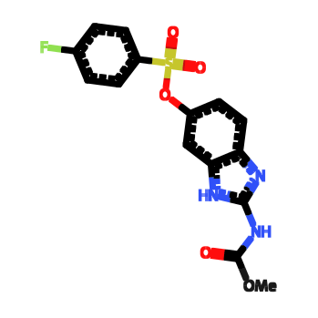 COC(=O)Nc1nc2ccc(OS(=O)(=O)c3ccc(F)cc3)cc2[nH]1